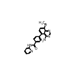 COc1ccc(-c2ccc(C(=O)Nc3ccccn3)cc2)c2c(N)ncnc12